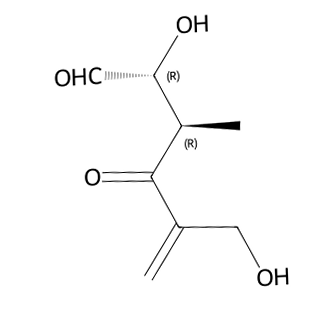 C=C(CO)C(=O)[C@H](C)[C@@H](O)C=O